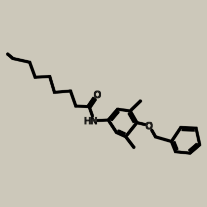 CCCCCCCCC(=O)Nc1cc(C)c(OCc2ccccc2)c(C)c1